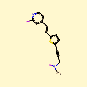 CN(I)CC#Cc1ccc(/C=C/c2ccnc(I)c2)s1